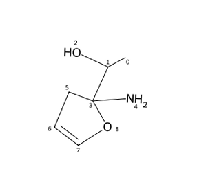 CC(O)C1(N)CC=CO1